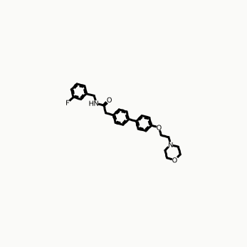 O=C(Cc1ccc(-c2ccc(OCCN3CCOCC3)cc2)cc1)NCc1cccc(F)c1